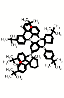 CC(C)(C)c1ccc(N2c3ccc(C(C)(C)C)cc3B3c4ccc(C(C)(C)C)cc4N(c4ccc(C(C)(C)C)cc4-c4ccccc4)c4cc(N5c6ccc(C(C)(C)C)cc6C6(c7ccc(C(C)(C)C)cc7)CCCCC56C)cc2c43)cc1